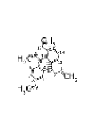 C=CCB(c1cccc(CC)c1)c1cccc(CC)c1CC=C